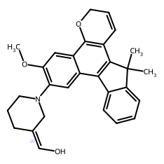 COc1cc2c3c(c4c(c2cc1N1CCC/C(=C/O)C1)-c1ccccc1C4(C)C)C=CCO3